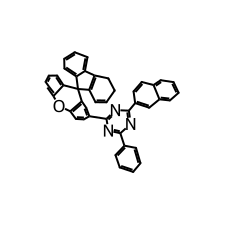 C1=CC2=C(CC1)c1ccccc1C21c2ccccc2Oc2ccc(-c3nc(-c4ccccc4)nc(-c4ccc5ccccc5c4)n3)cc21